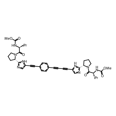 COC(=O)N[C@H](C(=O)N1CCC[C@H]1c1ncc(C#CC#Cc2ccc(C#Cc3cnc([C@@H]4CCCN4C(=O)[C@@H](NC(=O)OC)C(C)C)[nH]3)cc2)[nH]1)C(C)C